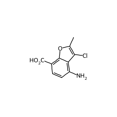 Cc1oc2c(C(=O)O)ccc(N)c2c1Cl